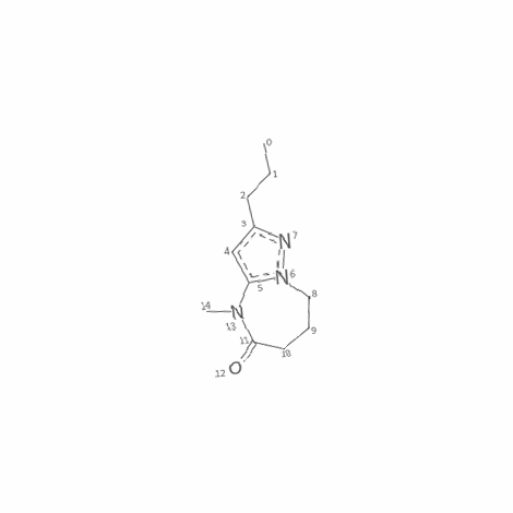 CCCc1cc2n(n1)CCCC(=O)N2C